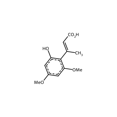 COc1cc(O)c(C(C)=CC(=O)O)c(OC)c1